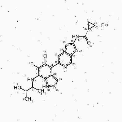 CC(O)C(C)Nc1c(F)c(Cl)c(-c2cn3cc(NC(=O)[C@@H]4C[C@@H]4F)nc3cn2)c2cn[nH]c12